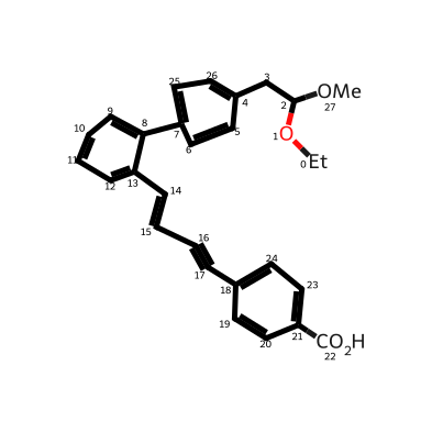 CCOC(Cc1ccc(-c2ccccc2/C=C/C#Cc2ccc(C(=O)O)cc2)cc1)OC